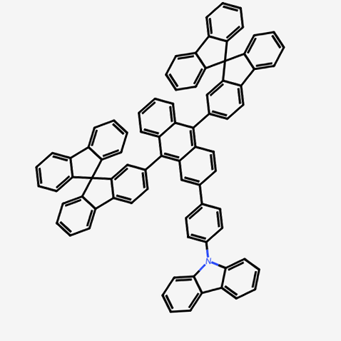 c1ccc2c(c1)-c1ccccc1C21c2ccccc2-c2ccc(-c3c4ccccc4c(-c4ccc5c(c4)C4(c6ccccc6-c6ccccc64)c4ccccc4-5)c4cc(-c5ccc(-n6c7ccccc7c7ccccc76)cc5)ccc34)cc21